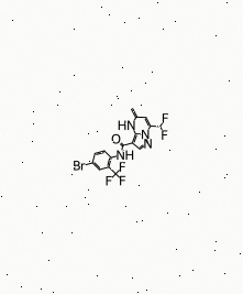 C=C1C=C(C(F)F)n2ncc(C(=O)Nc3ccc(Br)cc3C(F)(F)F)c2N1